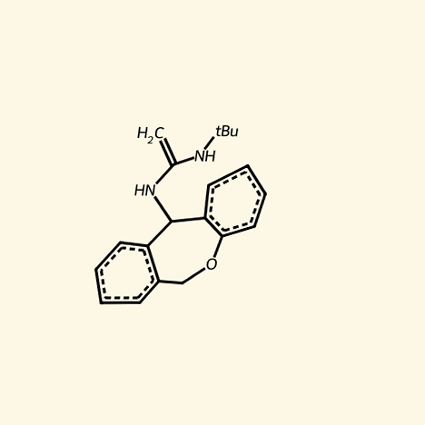 C=C(NC1c2ccccc2COc2ccccc21)NC(C)(C)C